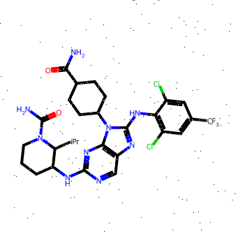 CC(C)C1C(Nc2ncc3nc(Nc4c(Cl)cc(C(F)(F)F)cc4Cl)n(C4CCC(C(N)=O)CC4)c3n2)CCCN1C(N)=O